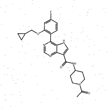 CC(=O)N1CCC(NC(=O)c2c[nH]c3c(-c4ccc(F)cc4OCC4CC4)ncnc23)CC1